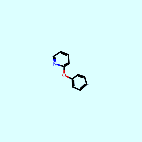 [c]1ccc(Oc2ccccn2)cc1